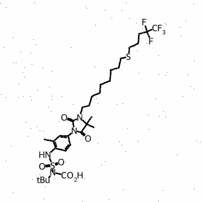 Cc1cc(N2C(=O)N(CCCCCCCCCSCCCC(F)(F)C(F)(F)F)C(C)(C)C2=O)ccc1NS(=O)(=O)N(C(=O)O)C(C)(C)C